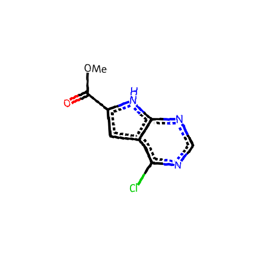 COC(=O)c1cc2c(Cl)ncnc2[nH]1